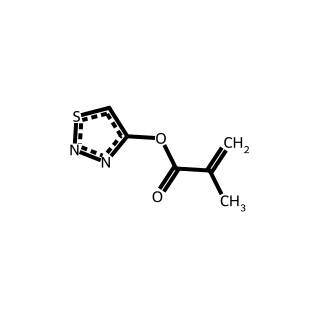 C=C(C)C(=O)Oc1csnn1